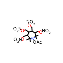 CC(=O)ON1C(C)(C)C(CO[N+](=O)[O-])C(CO[N+](=O)[O-])C(CO[N+](=O)[O-])C(CO[N+](=O)[O-])C1(C)C